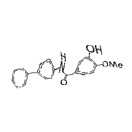 COc1ccc(C(=O)Nc2ccc(-c3ccccc3)cc2)cc1O